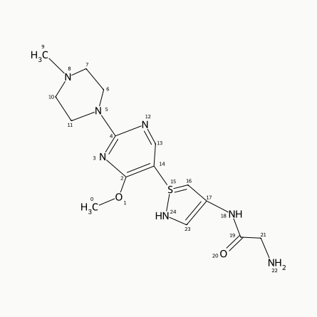 COc1nc(N2CCN(C)CC2)ncc1S1=CC(NC(=O)CN)=CN1